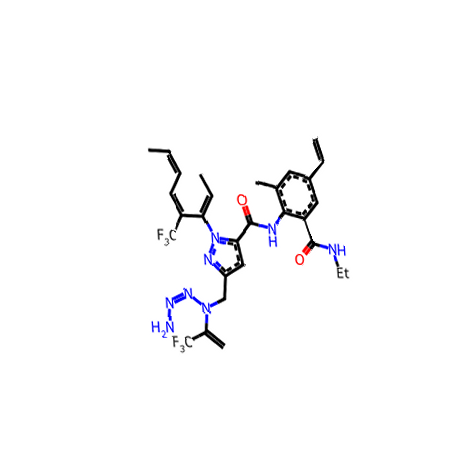 C=Cc1cc(C)c(NC(=O)c2cc(CN(/N=N\N)C(=C)C(F)(F)F)nn2C(=CC)/C(=C\C=C/C)C(F)(F)F)c(C(=O)NCC)c1